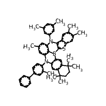 Cc1cc(C)cc(N2c3cc(C)cc4c3B(c3cc5c(cc3N4c3ccc(-c4ccccc4)cc3C)C(C)(C)CCC5(C)C)c3sc4cc(C)c(C)cc4c32)c1